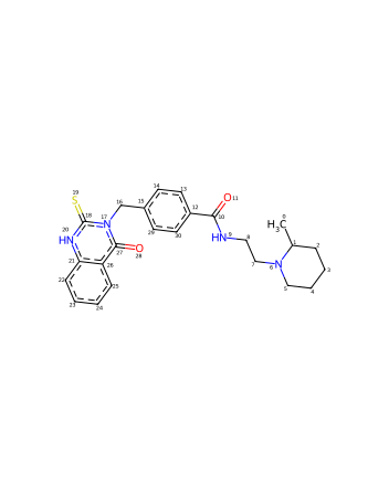 CC1CCCCN1CCNC(=O)c1ccc(Cn2c(=S)[nH]c3ccccc3c2=O)cc1